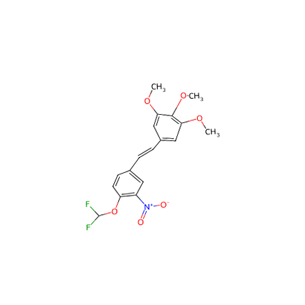 COc1cc(/C=C/c2ccc(OC(F)F)c([N+](=O)[O-])c2)cc(OC)c1OC